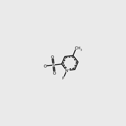 Cc1cc[n+](F)c(S(=O)(=O)[O-])c1